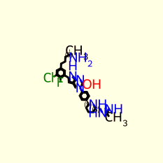 CC(=N)NC[C@@H]1CCC[C@@H](c2ccc(N3C=c4cc(-c5cc(CCC[C@H](C)N)cc(Cl)c5F)[nH]c4=NC3O)cc2)N1